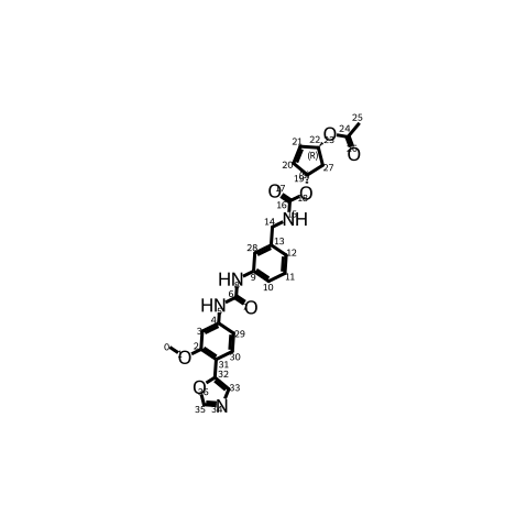 COc1cc(NC(=O)Nc2cccc(CNC(=O)O[C@@H]3C=C[C@H](OC(C)=O)C3)c2)ccc1-c1cnco1